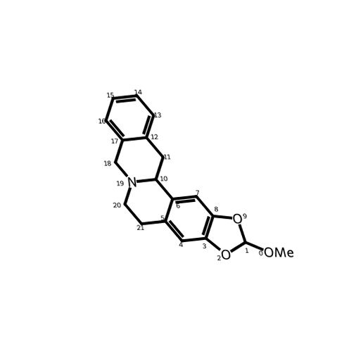 COC1Oc2cc3c(cc2O1)C1Cc2ccccc2CN1CC3